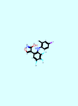 Cc1cc(I)ccc1Nc1c(-c2conc2O)cc(F)c(F)c1F